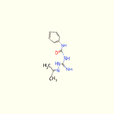 CC(C)=NNC(=N)NC(=O)Nc1ccccc1